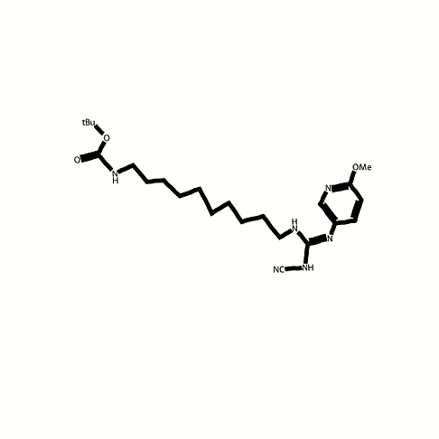 COc1ccc(N=C(NC#N)NCCCCCCCCCCNC(=O)OC(C)(C)C)cn1